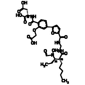 CCCCC[C@@H](C(=O)NCNC(=O)c1ccc(-c2ccc(C(=O)N[C@@H](CC(=O)O)C(=O)O)c(OCC(=O)O)c2)o1)[C@@H](CC)N(O)C=O